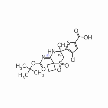 CC(C)(C)OC(=O)/N=C1/N[C@](C)(c2sc(C(=O)O)cc2Cl)CS(=O)(=O)C12CCC2